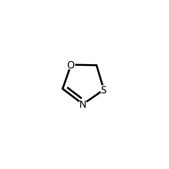 C1=NSCO1